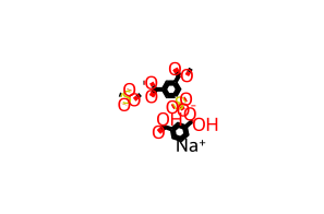 COC(=O)c1cc(C(=O)OC)cc(S(=O)(=O)[O-])c1.COS(C)(=O)=O.O=C(O)c1cccc(C(=O)O)c1.[Na+]